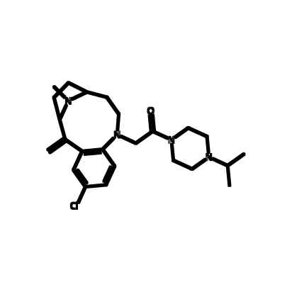 C=C1c2cc(Cl)ccc2N(CC(=O)N2CCN(C(C)C)CC2)CCC2CCC1N2C